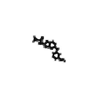 Nc1cccc(Oc2ccc3nc(NC(=O)C4CC4)sc3n2)c1